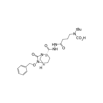 CC(C)(C)N(CCCC(=O)NNC(=O)[C@@H]1CC[C@@H]2CN1C(=O)N2OCc1ccccc1)C(=O)O